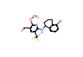 COc1nc(NC2CCCc3c(Br)cccc32)c(C(F)(F)F)cc1C=O